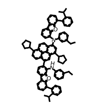 CCc1cccc(Nc2c(-c3cc4c(C5CCCC5)cc(N(c5cccc(CC)c5)c5cccc6c5oc5c(-c7ccccc7C(C)C)cccc56)c5ccc6c(C7CCCC7)ccc3c6c45)ccc3c2oc2c(-c4ccccc4C(C)C)cccc23)c1